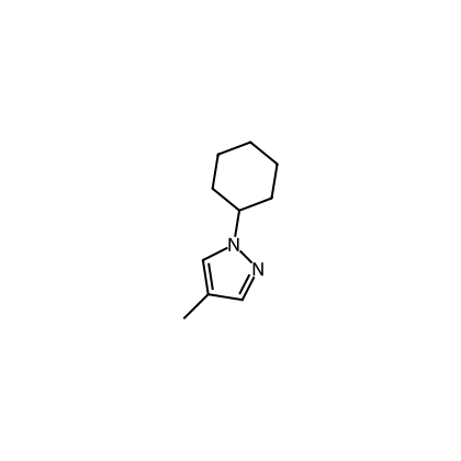 Cc1cnn(C2CCCCC2)c1